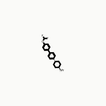 CCC[C@H]1CC[C@H](c2ccc(-c3ccc(OC(F)F)cc3)cc2)CC1